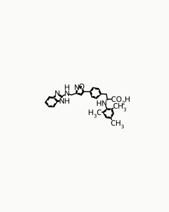 Cc1cc(C)c(NC(Cc2ccc(-c3cc(CNc4nc5ccccc5[nH]4)no3)cc2)C(=O)O)c(C)c1